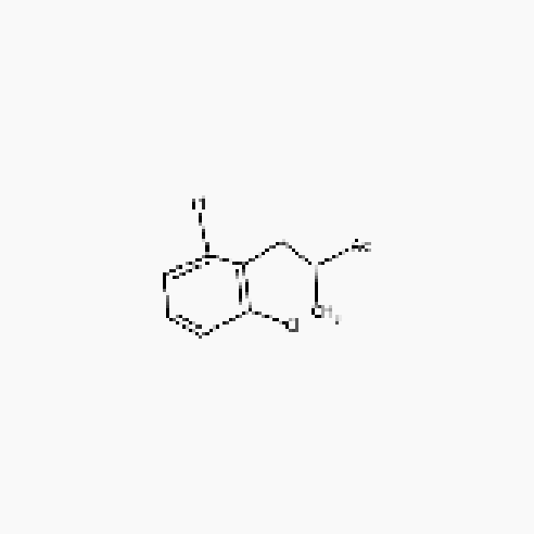 CC(=O)C(C)Cc1c(Cl)cccc1Cl